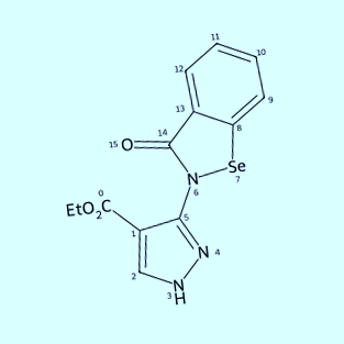 CCOC(=O)c1c[nH]nc1-n1[se]c2ccccc2c1=O